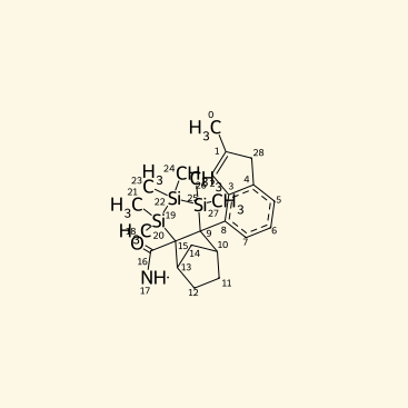 CC1=Cc2c(cccc2C23C4CCC(C4)C2(C([NH])=O)[Si](C)(C)[Si](C)(C)[Si]3(C)C)C1